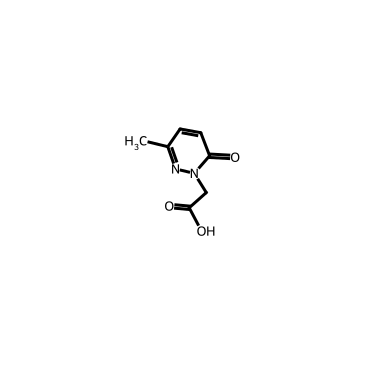 Cc1ccc(=O)n(CC(=O)O)n1